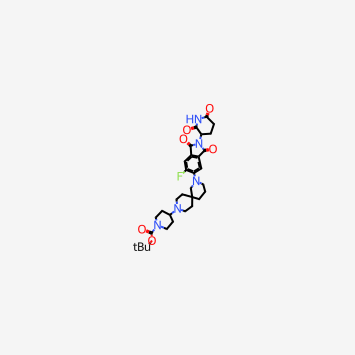 CC(C)(C)OC(=O)N1CCC(N2CCC3(CCCN(c4cc5c(cc4F)C(=O)N(C4CCC(=O)NC4=O)C5=O)C3)CC2)CC1